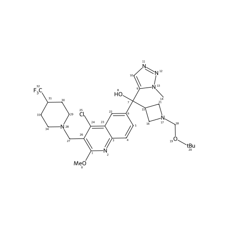 COc1nc2ccc(C(O)(c3cnnn3C)C3CN(COC(C)(C)C)C3)cc2c(Cl)c1CN1CCC(C(F)(F)F)CC1